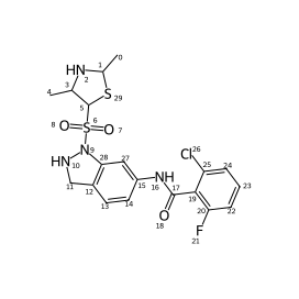 CC1NC(C)C(S(=O)(=O)N2NCc3ccc(NC(=O)c4c(F)cccc4Cl)cc32)S1